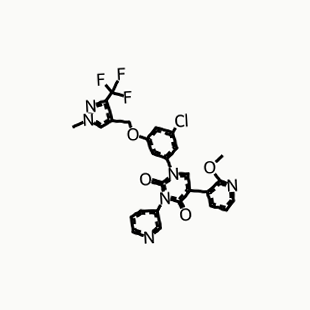 COc1ncccc1-c1cn(-c2cc(Cl)cc(OCc3cn(C)nc3C(F)(F)F)c2)c(=O)n(-c2cccnc2)c1=O